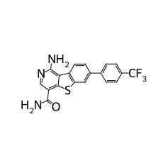 NC(=O)c1cnc(N)c2c1sc1cc(-c3ccc(C(F)(F)F)cc3)ccc12